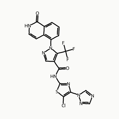 O=C(Nc1nc(-n2cncn2)c(Cl)s1)c1cnn(-c2cccc3c(=O)[nH]ccc23)c1C(F)(F)F